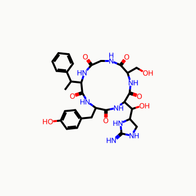 CC(c1ccccc1)C1NC(=O)CNC(=O)C(CO)NC(=O)C(C(O)C2CNC(=N)N2)NC(=O)C(Cc2ccc(O)cc2)NC1=O